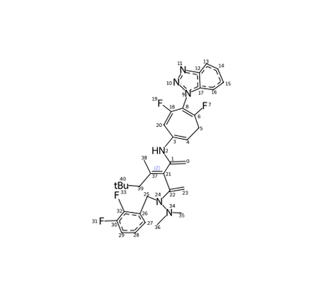 C=C(NC1=CCC(F)=C(n2nnc3ccccc32)C(F)=C1)/C(C(=C)N(Cc1cccc(F)c1F)N(C)C)=C(\C)CC(C)(C)C